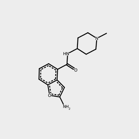 CN1CCC(NC(=O)c2cccc3oc(N)cc23)CC1